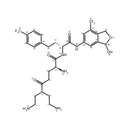 NCCN(CCN)C(=O)CC[C@H](N)C(=O)N[C@H](CCc1ccc(C(F)(F)F)cc1)C(=O)Nc1cc2c(c(C(F)(F)F)c1)COB2O